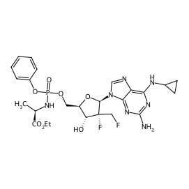 CCOC(=O)[C@@H](C)NP(=O)(OC[C@H]1O[C@@H](n2cnc3c(NC4CC4)nc(N)nc32)[C@@](F)(CF)[C@@H]1O)Oc1ccccc1